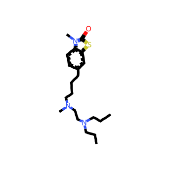 CCCN(CCC)CCN(C)CCCCc1ccc2c(c1)sc(=O)n2C